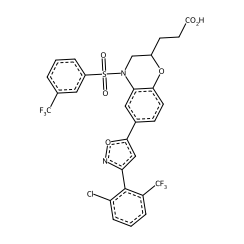 O=C(O)CCC1CN(S(=O)(=O)c2cccc(C(F)(F)F)c2)c2cc(-c3cc(-c4c(Cl)cccc4C(F)(F)F)no3)ccc2O1